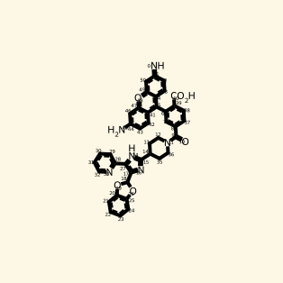 N=c1ccc2c(-c3cc(C(=O)N4CCC(c5nc(C6Oc7ccccc7O6)c(-c6ccccn6)[nH]5)CC4)ccc3C(=O)O)c3ccc(N)cc3oc-2c1